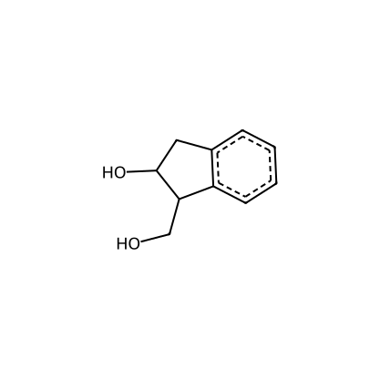 OCC1c2ccccc2CC1O